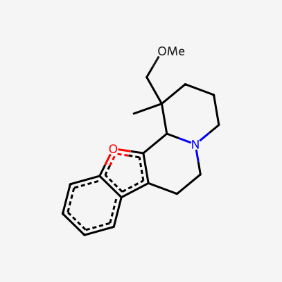 COCC1(C)CCCN2CCc3c(oc4ccccc34)C21